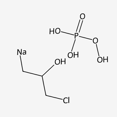 O=P(O)(O)OO.OC([CH2][Na])CCl